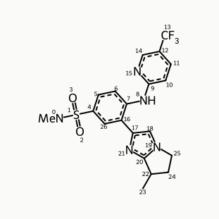 CNS(=O)(=O)c1ccc(Nc2ccc(C(F)(F)F)cn2)c(-c2cn3c(n2)C(C)CC3)c1